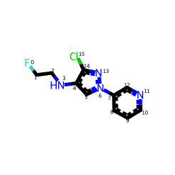 FCCNc1cn(-c2cccnc2)nc1Cl